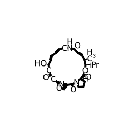 CC(C)[C@H]1OC(=O)[C@H]2CCCN2C(=O)c2coc(n2)CC(=O)C[C@H](O)/C=C/C=C/CNC(=O)/C=C/[C@H]1C